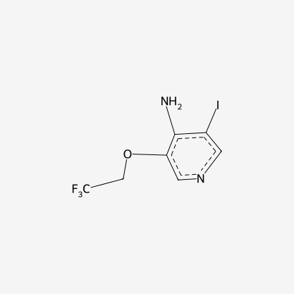 Nc1c(I)cncc1OCC(F)(F)F